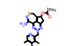 CNC(=O)OC1CC2=NN(Cc3ncc(C)c(OC)c3C)N=C3C(N)=NSCC1=C23